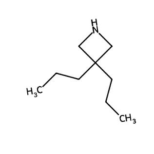 CCCC1(CCC)CNC1